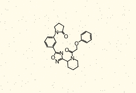 O=C1CCCN1c1cccc(-c2nc(C3CCCCN3C(=O)COc3ccccc3)no2)c1